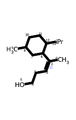 C/C(=C/CCO)C1CC(C)CCC1C(C)C